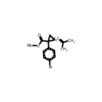 C=C(C)C.CC(C)(C)OC(=O)C1(c2ccc(Br)cc2)CC1